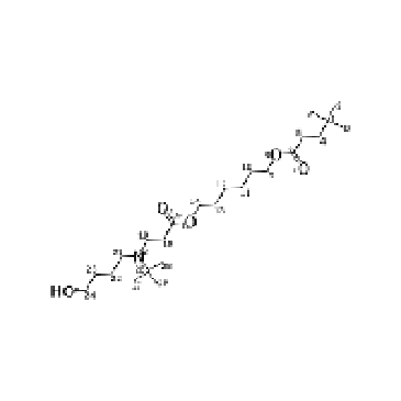 CC(C)(C)CCC(=O)OCCCCCCOC(=O)CCN(CCCCO)C(C)(C)C